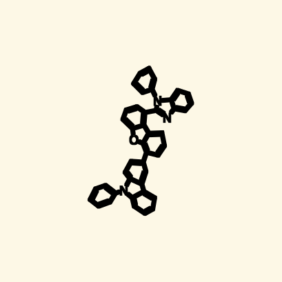 c1ccc(-n2c(-c3cccc4oc5c(-c6ccc7c(c6)c6ccccc6n7-c6ccccc6)cccc5c34)nc3ccccc32)cc1